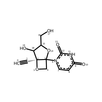 C#C[C@@]12OCC1(n1ccc(=O)[nH]c1=O)OC(CO)C2O